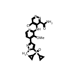 COc1c(-c2cc(P(=O)(C3CC3)C3CC3)n(C)n2)ccnc1Nc1c(Cl)cnnc1C(N)=O